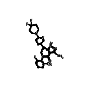 N#Cc1cccc(F)c1-n1cc(-c2cnc(N3CCC(F)(F)CC3)cn2)c2[nH]nc(N)c2c1=O